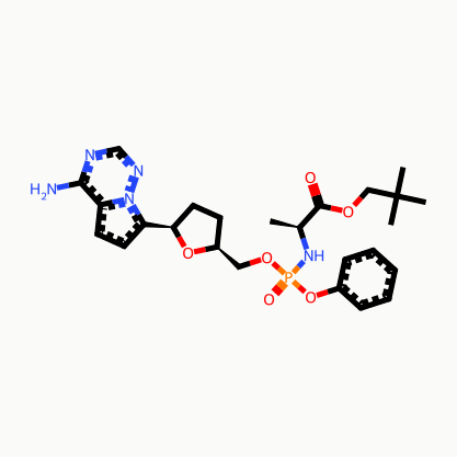 C[C@H](NP(=O)(OC[C@@H]1CC[C@H](c2ccc3c(N)ncnn23)O1)Oc1ccccc1)C(=O)OCC(C)(C)C